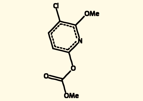 COC(=O)Oc1ccc(Cl)c(OC)n1